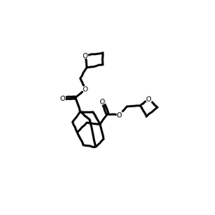 O=C(OCC1CCO1)C12CC3CC(C1)CC(C(=O)OCC1CCO1)(C3)C2